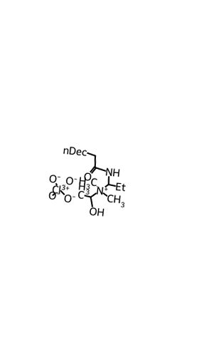 CCCCCCCCCCCC(=O)NC(CC)[N+](C)(C)C(C)O.[O-][Cl+3]([O-])([O-])[O-]